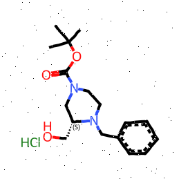 CC(C)(C)OC(=O)N1CCN(Cc2ccccc2)[C@H](CO)C1.Cl